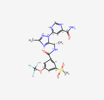 Cc1nc([C@H](C)NC(=O)c2cc(OC(F)(F)F)cc(S(C)(=O)=O)c2)n(-c2cc(C(N)=O)ncn2)n1